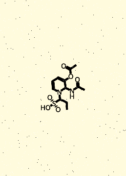 CCC(N1C=CC=C(OC(C)=O)C1NC(C)=O)S(=O)(=O)O